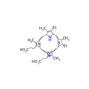 CCC1=C(C)C2C=C3N=C(C=c4[nH]c(c(C)c4CCC(=O)O)=CC4=NC(=CC1N2)C(C)C4CC)C(CCC(=O)O)=C3C